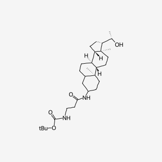 C[C@H](O)[C@H]1CC[C@H]2[C@@H]3CCC4CC(NC(=O)CCNC(=O)OC(C)(C)C)CC[C@]4(C)[C@H]3CC[C@]12C